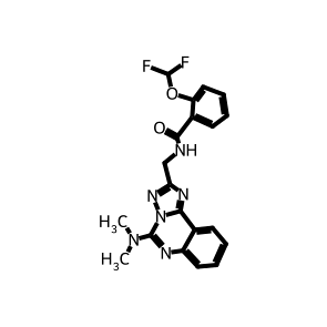 CN(C)c1nc2ccccc2c2nc(CNC(=O)c3ccccc3OC(F)F)nn12